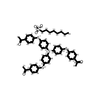 CC(=O)c1ccc(Sc2ccc([S+](c3ccc(Sc4ccc(C(C)=O)cc4)cc3)c3ccc(Sc4ccc(C(C)=O)cc4)cc3)cc2)cc1.CCCCCCCCS(=O)(=O)[O-]